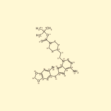 CC(C)(C)OC(=O)N1CCC(CCn2cnc(N)c3nc(Sc4cc5c(cc4Br)OCO5)nc2-3)CC1